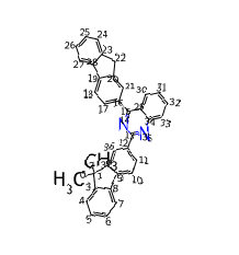 CC1(C)c2ccccc2-c2ccc(-c3nc(-c4ccc5c(c4)Cc4ccccc4-5)c4ccccc4n3)cc21